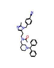 CC(=O)N(CCc1cnc(C)n1Cc1ccc(C#N)cc1)CC1CCCN(C(c2ccccc2)c2ccccc2)C1